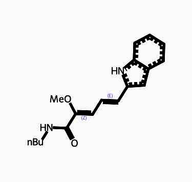 CCCCNC(=O)/C(=C/C=C/c1cc2ccccc2[nH]1)OC